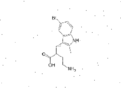 Cc1[nH]c2ccc(Br)cc2c1CC(CCN)C(=O)O